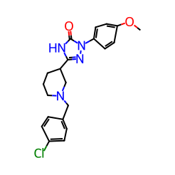 COc1ccc(-n2nc(C3CCCN(Cc4ccc(Cl)cc4)C3)[nH]c2=O)cc1